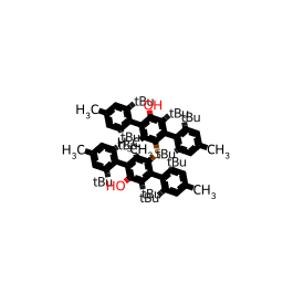 Cc1cc(C(C)(C)C)c(-c2c(C)c(Sc3c(C)c(-c4c(C(C)(C)C)cc(C)cc4C(C)(C)C)c(O)c(C(C)(C)C)c3-c3c(C(C)(C)C)cc(C)cc3C(C)(C)C)c(-c3c(C(C)(C)C)cc(C)cc3C(C)(C)C)c(C(C)(C)C)c2O)c(C(C)(C)C)c1